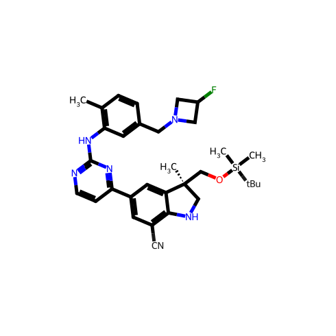 Cc1ccc(CN2CC(F)C2)cc1Nc1nccc(-c2cc(C#N)c3c(c2)[C@@](C)(CO[Si](C)(C)C(C)(C)C)CN3)n1